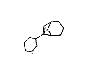 C1=C(C2CCCSC2)C2CCCC1S2